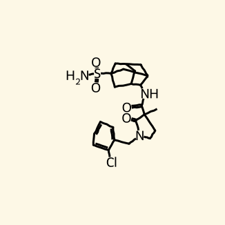 CC1(C(=O)NC2C3CC4CC2CC(S(N)(=O)=O)(C4)C3)CCN(Cc2ccccc2Cl)C1=O